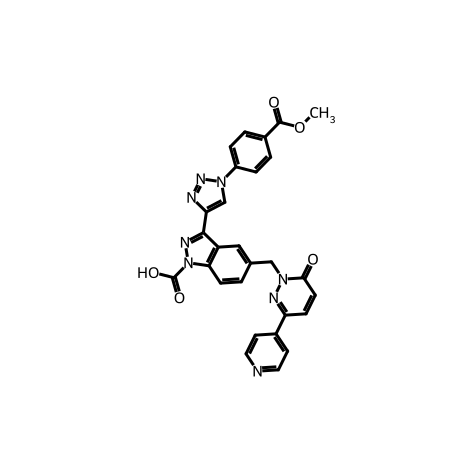 COC(=O)c1ccc(-n2cc(-c3nn(C(=O)O)c4ccc(Cn5nc(-c6ccncc6)ccc5=O)cc34)nn2)cc1